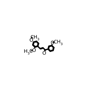 COc1cccc(C(=O)/C=C/c2ccc(OC)cc2OC)c1